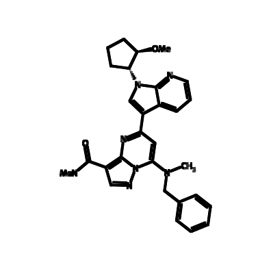 CNC(=O)c1cnn2c(N(C)Cc3ccccc3)cc(-c3cn([C@@H]4CCC[C@H]4OC)c4ncccc34)nc12